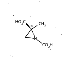 C[C@@]1(C(=O)O)CN1C(=O)O